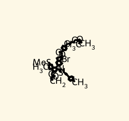 C=CC(=O)Oc1cc(-c2ncc(C#Cc3ccc(C)cc3)s2)c(-c2ccc3c(Br)c(OC(=O)c4ccc(OCCCOC5OC5(C)C)cc4)ccc3c2)c2cc(SC)c(C)cc12